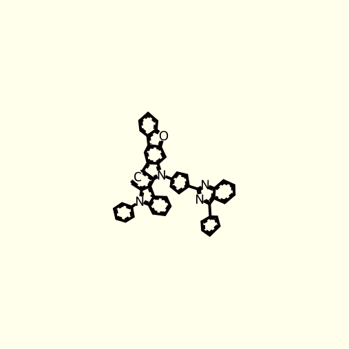 c1ccc(-c2nc(-c3ccc(-n4c5cc6oc7ccccc7c6cc5c5ccc6c(c7ccccc7n6-c6ccccc6)c54)cc3)nc3ccccc23)cc1